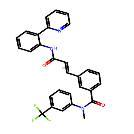 CN(C(=O)c1cccc(/C=C/C(=O)Nc2ccccc2-c2ccccn2)c1)c1cccc(C(F)(F)F)c1